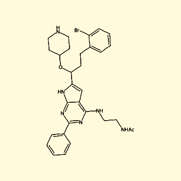 CC(=O)NCCNc1nc(-c2ccccc2)nc2[nH]c(C(CCc3ccccc3Br)OC3CCNCC3)cc12